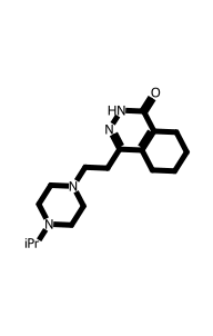 CC(C)N1CCN(CCc2n[nH]c(=O)c3c2CCCC3)CC1